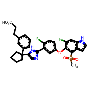 CS(=O)(=O)c1c(Oc2ccc(F)c(-c3ncc(C4(c5cccc(CCC(=O)O)c5)CCCC4)[nH]3)c2)c(F)cc2[nH]ccc12